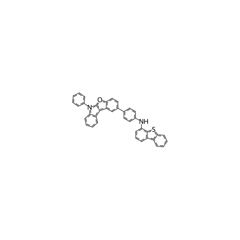 c1ccc(-n2c3ccccc3c3c4cc(-c5ccc(Nc6cccc7c6sc6ccccc67)cc5)ccc4oc32)cc1